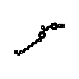 CCCCCCCCCOc1ccc(C(=O)C=Cc2ccc(O)cc2)cc1